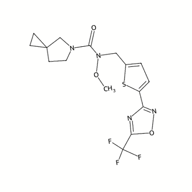 CON(Cc1ccc(-c2noc(C(F)(F)F)n2)s1)C(=O)N1CCC2(CC2)C1